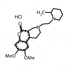 COc1cc2oc(=O)c3c(c2cc1OC)CCN(CCN1CCCCC1C)C3.Cl